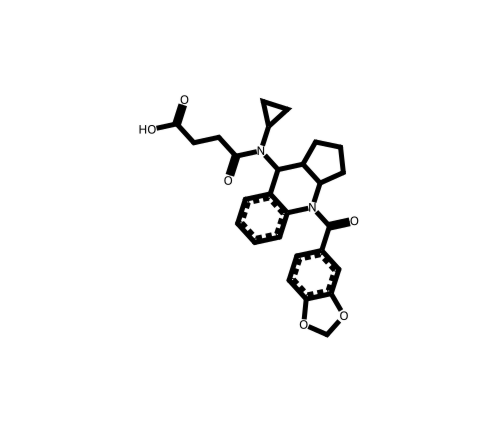 O=C(O)CCC(=O)N(C1CC1)C1c2ccccc2N(C(=O)c2ccc3c(c2)OCO3)C2CCCC21